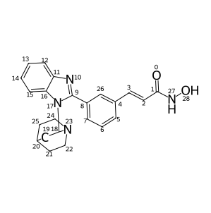 O=C(C=Cc1cccc(-c2nc3ccccc3n2C2CC3CCN2CC3)c1)NO